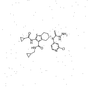 NNC(=S)N(c1ccnc(Cl)c1)[C@H]1CCc2sc(NC(=O)C3CC3)c(C(=O)NCC3CC3)c2C1